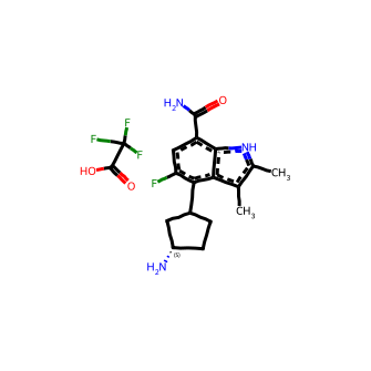 Cc1[nH]c2c(C(N)=O)cc(F)c(C3CC[C@H](N)C3)c2c1C.O=C(O)C(F)(F)F